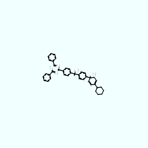 CC1(c2ccc(C(C)(C)c3ccc(-c4nc(-c5ccccc5)nc(-c5ccccc5)n4)cc3)cc2)C=CC(C2CCCCC2)=CC1